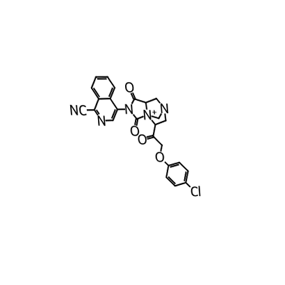 N#Cc1ncc(N2C(=O)C3CN4CC(C(=O)COc5ccc(Cl)cc5)[N+]3(C4)C2=O)c2ccccc12